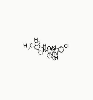 C/C=C(CNC(=O)C1CCC(=O)N1C(=O)Nc1ccc(Cl)cc1Cl)\C(Cl)=C/CC